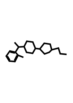 CCCC1CCC(C2CCC(C(C)c3ccccc3C)CC2)CC1